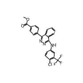 COC(=O)c1ccc(-c2nnc(Nc3ccc(Cl)c(C(F)(F)F)c3)c3ccccc23)cc1